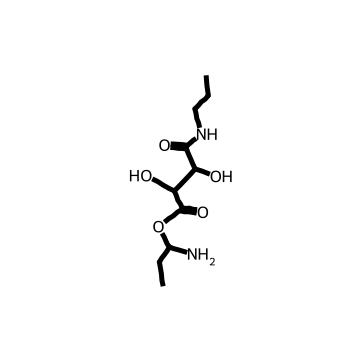 CCCNC(=O)C(O)C(O)C(=O)OC(N)CC